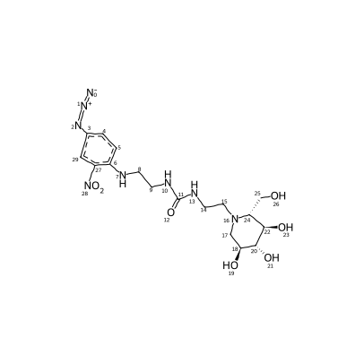 [N-]=[N+]=Nc1ccc(NCCNC(=O)NCCN2C[C@H](O)[C@@H](O)[C@H](O)[C@H]2CO)c([N+](=O)[O-])c1